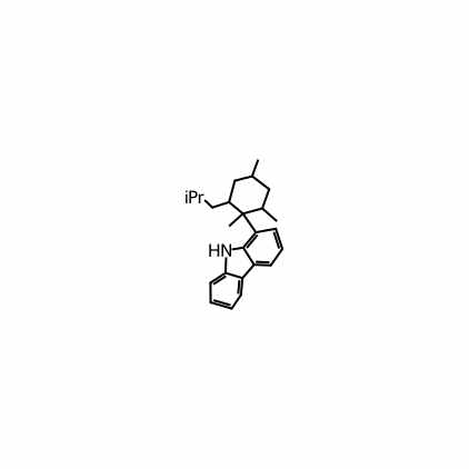 CC(C)CC1CC(C)CC(C)C1(C)c1cccc2c1[nH]c1ccccc12